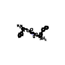 Nc1cc(COC(=O)/C=C/C(=O)OCc2cc(N)cc(C3=Cc4ccccc4CC3)n2)nc(C2=Cc3ccccc3CC2)c1